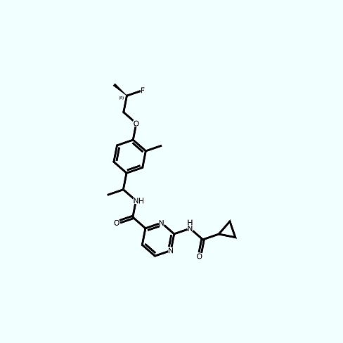 Cc1cc(C(C)NC(=O)c2ccnc(NC(=O)C3CC3)n2)ccc1OC[C@@H](C)F